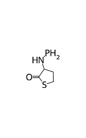 O=C1SCCC1NP